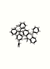 CC1(C)c2ccccc2N(c2ccccc2)c2ccc(C3(c4ccc(C#N)cc4)c4ccccc4Sc4ccccc43)cc21